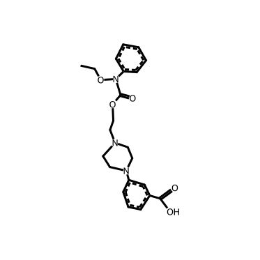 CCON(C(=O)OCCN1CCN(c2cccc(C(=O)O)c2)CC1)c1ccccc1